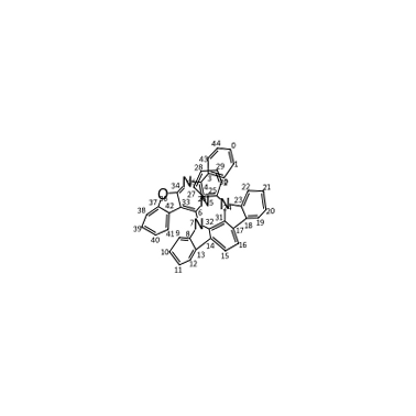 c1ccc(-c2nc(-n3c4ccccc4c4ccc5c6ccccc6n(-c6ccccc6)c5c43)c3c(n2)oc2ccccc23)cc1